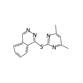 Cc1cc(C)nc(Sc2nncc3ccccc23)n1